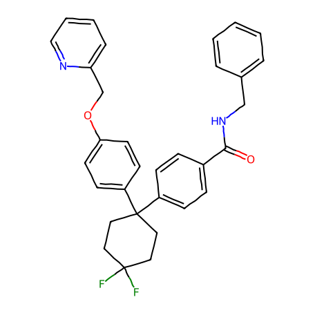 O=C(NCc1ccccc1)c1ccc(C2(c3ccc(OCc4ccccn4)cc3)CCC(F)(F)CC2)cc1